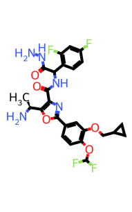 C[C@H](N)c1oc(-c2ccc(OC(F)F)c(OCC3CC3)c2)nc1C(=O)NC(C(=O)NN)c1ccc(F)cc1F